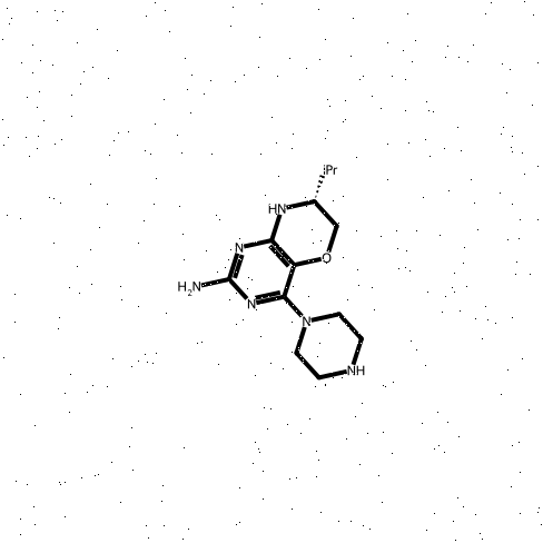 CC(C)[C@@H]1COc2c(nc(N)nc2N2CCNCC2)N1